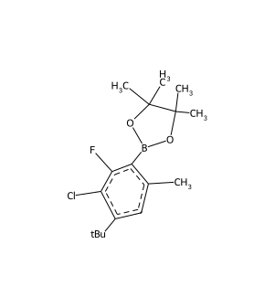 Cc1cc(C(C)(C)C)c(Cl)c(F)c1B1OC(C)(C)C(C)(C)O1